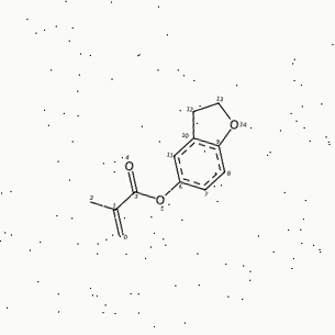 C=C(C)C(=O)Oc1ccc2c(c1)CCO2